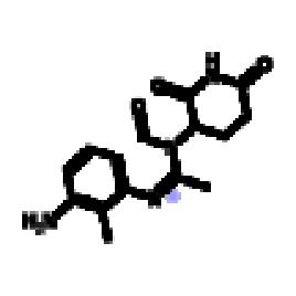 C/C(=N/c1cccc(N)c1C)N(C=O)C1CCC(=O)NC1=O